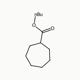 CCCCOC(=O)C1CCCCCC1